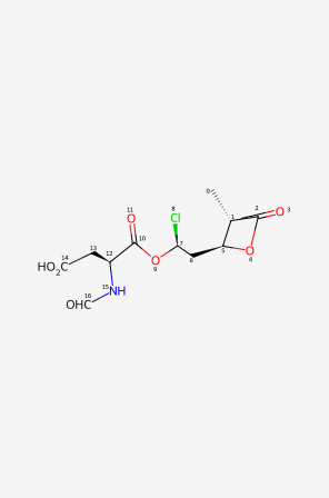 C[C@@H]1C(=O)O[C@H]1C[C@H](Cl)OC(=O)[C@H](CC(=O)O)NC=O